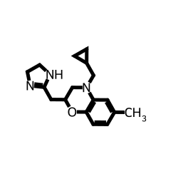 Cc1ccc2c(c1)N(CC1CC1)CC(CC1=NCCN1)O2